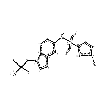 CC(C)(N)Cn1ccc2cc(NS(=O)(=O)c3ccc(Cl)s3)ccc21